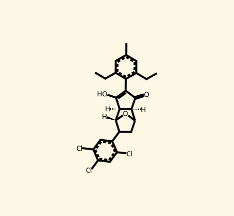 CCc1cc(C)cc(CC)c1C1=C(O)[C@@H]2[C@@H]3OC(CC3c3cc(Cl)c(Cl)cc3Cl)[C@@H]2C1=O